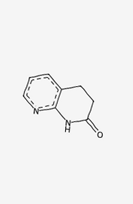 O=C1CCc2cccnc2N1